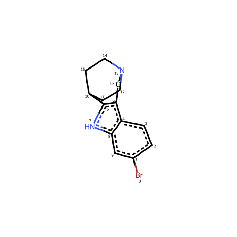 Brc1ccc2c3c([nH]c2c1)C1CCN(CC1)C3